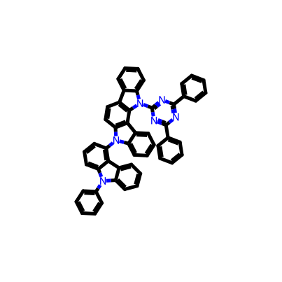 c1ccc(-c2nc(-c3ccccc3)nc(-n3c4ccccc4c4ccc5c(c6ccccc6n5-c5cccc6c5c5ccccc5n6-c5ccccc5)c43)n2)cc1